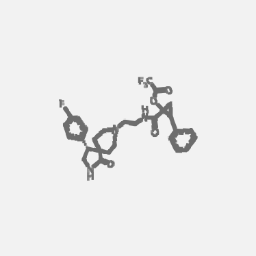 O=C(OC1(C(=O)NCCN2CCC3(CC2)C(=O)NC[C@@H]3c2ccc(F)cc2)CC1c1ccccc1)C(F)(F)F